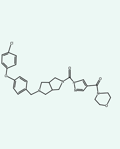 O=C(c1cnn(C(=O)N2CC3CN(Cc4ccc(Oc5ccc(Cl)cc5)cc4)CC3C2)c1)N1CCOCC1